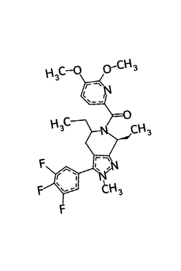 CCC1Cc2c(nn(C)c2-c2cc(F)c(F)c(F)c2)[C@H](CC)N1C(=O)c1ccc(OC)c(OC)n1